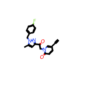 C#Cc1ccc(=O)n(CC(=O)c2cc(C)n(Cc3ccc(F)cc3)n2)c1